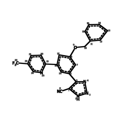 N#Cc1[nH]nnc1-c1cc(OCc2ccccc2)cc(-c2ccc(C(F)(F)F)cn2)c1